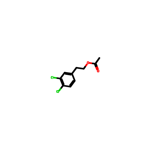 CC(=O)OCCc1ccc(Cl)c(Cl)c1